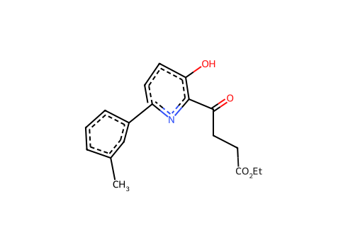 CCOC(=O)CCC(=O)c1nc(-c2cccc(C)c2)ccc1O